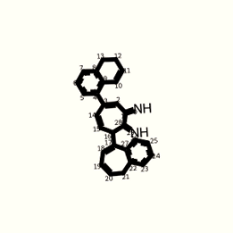 N=C1C=C(c2cccc3c2C=CCC3)C=CC(C2=CC=CCc3ccccc32)C1=N